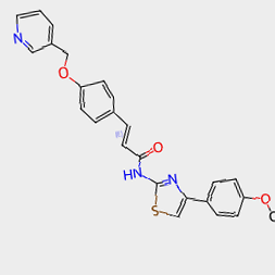 COc1ccc(-c2csc(NC(=O)/C=C/c3ccc(OCc4cccnc4)cc3)n2)cc1